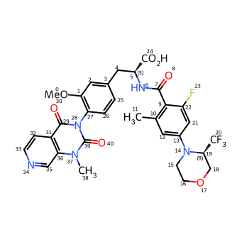 COc1cc(C[C@H](NC(=O)c2c(C)cc(N3CCOC[C@@H]3C(F)(F)F)cc2F)C(=O)O)ccc1-n1c(=O)c2ccncc2n(C)c1=O